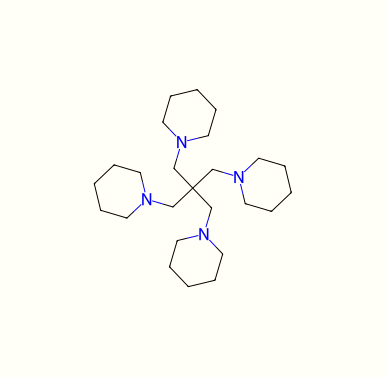 C1CCN(CC(CN2CCCCC2)(CN2CCCCC2)CN2CCCCC2)CC1